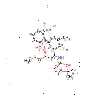 CCOC(=O)C[C@H](NC(=O)OC(C)(C)C)c1cc(-c2c(O)cccc2C(F)(F)F)cc(C)c1F